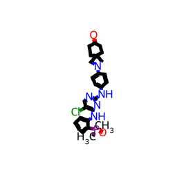 CP(C)(=O)c1ccccc1Nc1nc(Nc2ccc(N3CC4(CCC(=O)CC4)C3)cc2)ncc1Cl